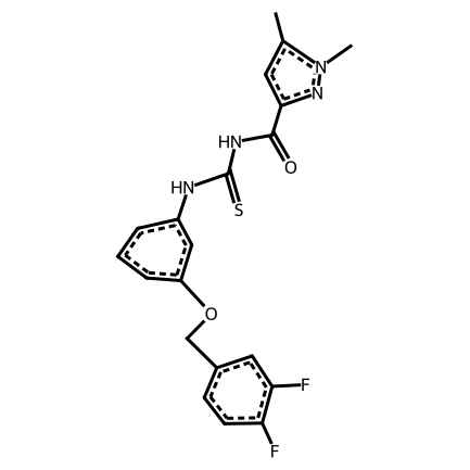 Cc1cc(C(=O)NC(=S)Nc2cccc(OCc3ccc(F)c(F)c3)c2)nn1C